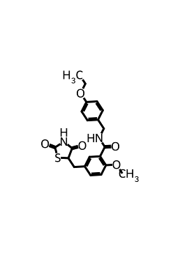 CCOc1ccc(CNC(=O)c2cc(CC3SC(=O)NC3=O)ccc2OC)cc1